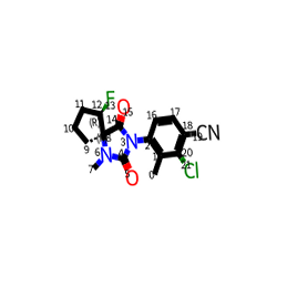 Cc1c(N2C(=O)N(C)[C@]3(CCC[C@H]3F)C2=O)ccc(C#N)c1Cl